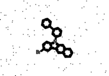 Brc1ccc2c(c1)c1cc3ccccc3cc1n2-c1cccc(-c2ccccc2)c1